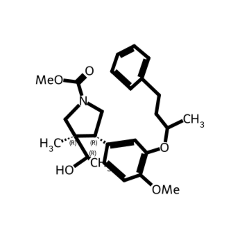 COC(=O)N1C[C@H](c2ccc(OC)c(OC(C)CCc3ccccc3)c2)[C@@](C)([C@@H](C)O)C1